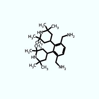 CC1(C)CC(c2c(CN)ccc(CN)c2C2CC(C)(C)NC(C)(C)C2)CC(C)(C)N1